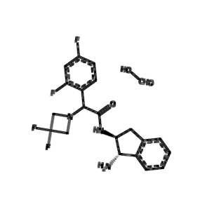 N[C@H]1c2ccccc2C[C@@H]1NC(=O)C(c1ccc(F)cc1F)N1CC(F)(F)C1.O=CO